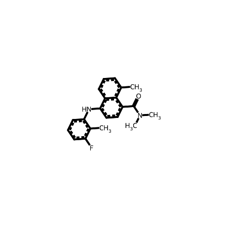 Cc1c(F)cccc1Nc1ccc(C(=O)N(C)C)c2c(C)cccc12